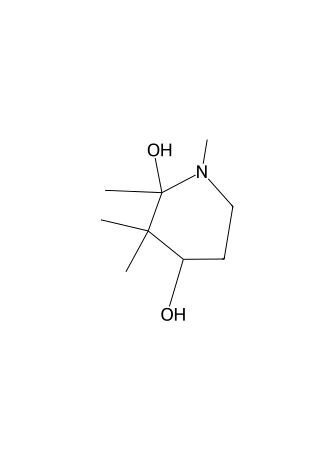 CN1CCC(O)C(C)(C)C1(C)O